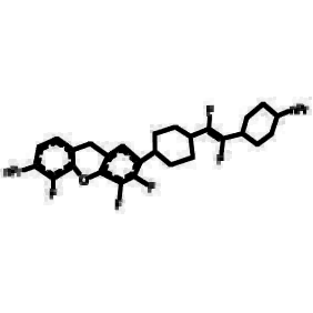 CCCc1ccc2c(c1F)Oc1c(cc(C3CCC(/C(F)=C(\F)C4CCC(CCC)CC4)CC3)c(F)c1F)C2